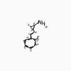 NC1CC1C=Cc1ccccc1F